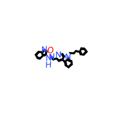 O=C1N=c2ccccc2=C1NN=Cc1cc2c3ccccc3n(CCCc3ccccc3)c2cn1